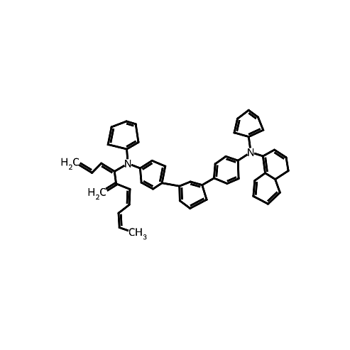 C=C/C=C(\C(=C)/C=C\C=C/C)N(c1ccccc1)c1ccc(-c2cccc(-c3ccc(N(C4=C5C=CC=CC5CC=C4)c4ccccc4)cc3)c2)cc1